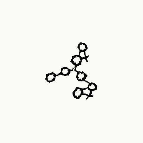 CC1(C)c2ccccc2-c2ccc(N(c3ccc(-c4ccccc4)cc3)c3ccc(-c4cccc5c4-c4ccccc4C5(C)C)cc3)cc21